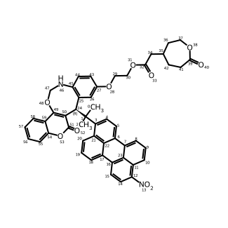 CC(C)(c1ccc2c3cccc4c([N+](=O)[O-])ccc(c5cccc1c52)c43)[C@@H]1c2cc(OCCOC(=O)CC3CCOC(=O)CC3)ccc2NCOc2c1c(=O)oc1ccccc21